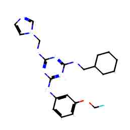 FCOc1cccc(Nc2nc(NCC3CCCCC3)nc(NCn3ccnc3)n2)c1